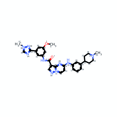 COc1cc(NC(=O)c2cnn3ccc(Nc4cccc(C5CCN(C)CC5)c4)nc23)cc(-c2ncn(C)n2)c1